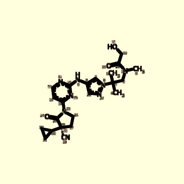 CN(CC(C)(C)n1cc(Nc2nccc(N3CC[C@@](C#N)(C4CC4)C3=O)n2)cn1)C(=O)CO